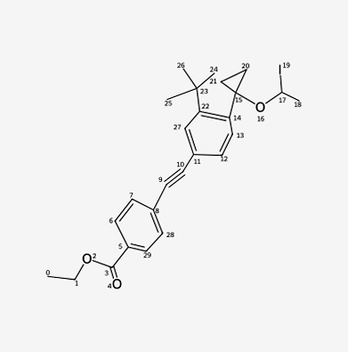 CCOC(=O)c1ccc(C#Cc2ccc(C3(OC(C)I)CC3)c(C(C)(C)C)c2)cc1